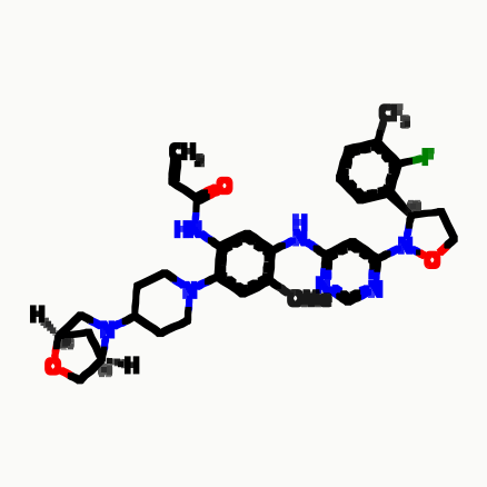 C=CC(=O)Nc1cc(Nc2cc(N3OCC[C@@H]3c3cccc(C(F)(F)F)c3F)ncn2)c(OC)cc1N1CCC(N2C[C@H]3C[C@@H]2CO3)CC1